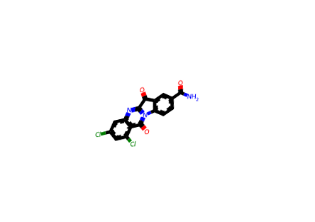 NC(=O)c1ccc2c(c1)C(=O)c1nc3cc(Cl)cc(Cl)c3c(=O)n1-2